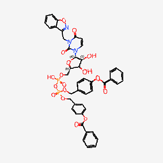 O=C(Oc1ccc(COP(=O)(OCc2ccc(OC(=O)c3ccccc3)cc2)OP(=O)(O)OC[C@H]2O[C@@H](n3ccc(=O)n(Cc4noc5ccccc45)c3=O)[C@@H](O)C2O)cc1)c1ccccc1